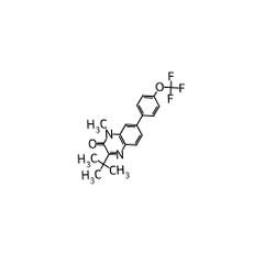 Cn1c(=O)c(C(C)(C)C)nc2ccc(-c3ccc(OC(F)(F)F)cc3)cc21